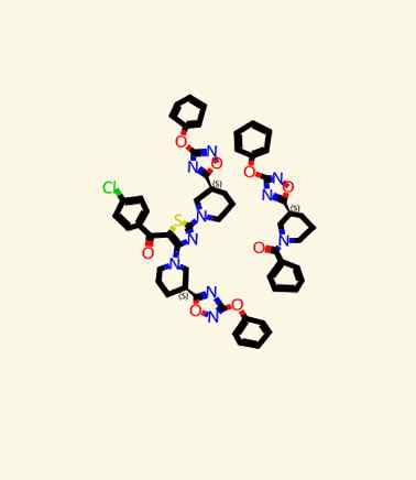 O=C(c1ccc(Cl)cc1)c1sc(N2CCC[C@H](c3nc(Oc4ccccc4)no3)C2)nc1N1CCC[C@H](c2nc(Oc3ccccc3)no2)C1.O=C(c1ccccc1)N1CCC[C@H](c2nc(Oc3ccccc3)no2)C1